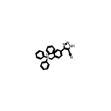 N#Cc1[nH]nnc1-c1ccc(C[PH](c2ccccc2)(c2ccccc2)c2ccccc2)cc1